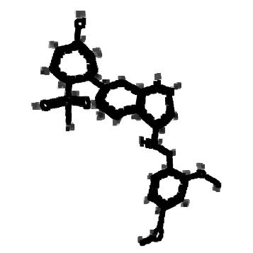 COc1ccc(CNc2cnnc3cc(-c4cc(Cl)ccc4S(C)(=O)=O)ccc23)c(OC)c1